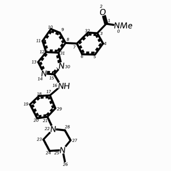 CNC(=O)c1cccc(-c2cccc3cnc(Nc4cccc(N5CCN(C)CC5)c4)nc23)c1